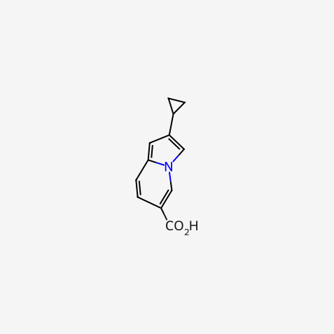 O=C(O)c1ccc2cc(C3CC3)cn2c1